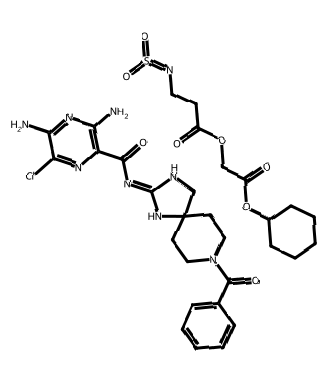 Nc1nc(N)c(C(=O)N=C2NCC3(CCN(C(=O)c4ccccc4)CC3)N2)nc1Cl.O=C(CCN=S(=O)=O)OCC(=O)OC1CCCCC1